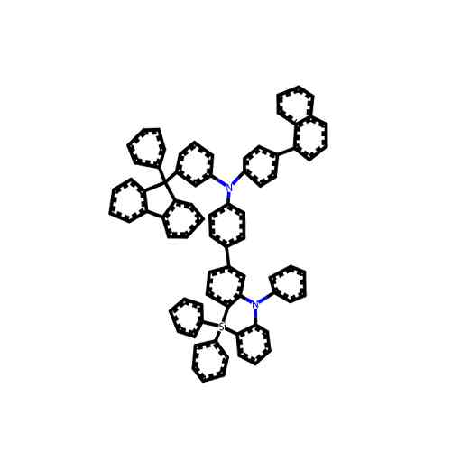 c1ccc(N2c3ccccc3[Si](c3ccccc3)(c3ccccc3)c3ccc(-c4ccc(N(c5ccc(-c6cccc7ccccc67)cc5)c5cccc(C6(c7ccccc7)c7ccccc7-c7ccccc76)c5)cc4)cc32)cc1